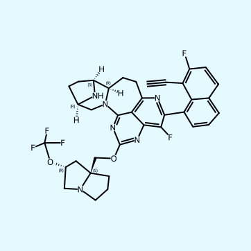 C#Cc1c(F)ccc2cccc(-c3nc4c5c(nc(OC[C@@]67CCCN6C[C@H](OC(F)(F)F)C7)nc5c3F)N3C[C@H]5CC[C@H](N5)[C@H]3CC4)c12